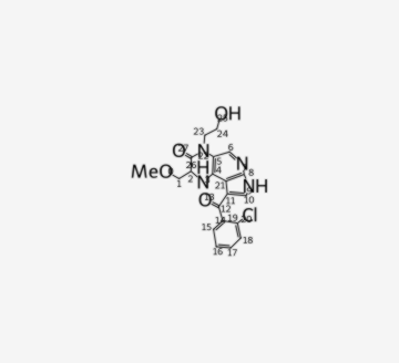 COCC1Nc2c(cnc3[nH]cc(C(=O)c4ccccc4Cl)c23)N(CCO)C1=O